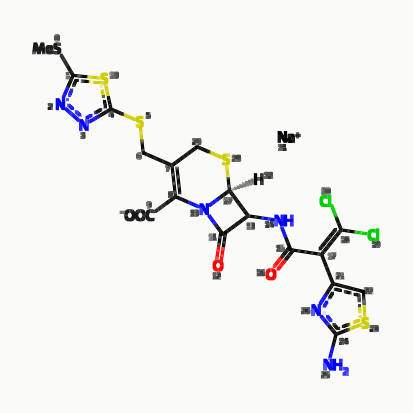 CSc1nnc(SCC2=C(C(=O)[O-])N3C(=O)C(NC(=O)C(=C(Cl)Cl)c4csc(N)n4)[C@@H]3SC2)s1.[Na+]